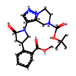 COC(=O)c1ccccc1C1CC(=O)N(c2cnn3c2CN(C(=O)OC(C)(C)C)CC3)C1